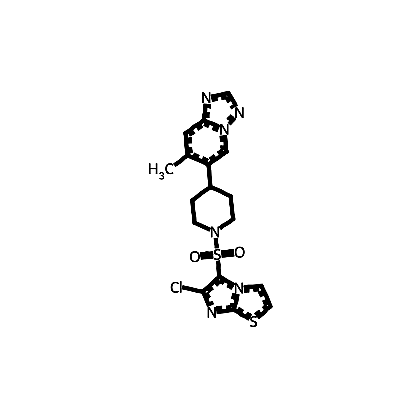 Cc1cc2ncnn2cc1C1CCN(S(=O)(=O)c2c(Cl)nc3sccn23)CC1